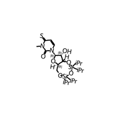 CC(C)[Si]1(C(C)C)OC[C@H]2O[C@@H](n3ccc(=S)n(C)c3=O)[C@H](O)[C@@H]2O[Si](C(C)C)(C(C)C)O1